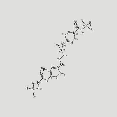 CC1CC(CC(=O)N2CC(F)(F)C2)=C(F)C=C1OCC[C@@H]1C[C@@H]1C1CCN(C(=O)OC2(C)CC2)CC1